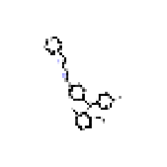 CCc1cccc(C)c1N(c1ccc(C)cc1)c1ccc(/C=C/C=C/c2ccccc2)cc1